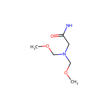 COCN(COC)CC([NH])=O